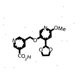 COc1cc(C2OCCO2)c(OCc2cncc(C(=O)O)c2)cn1